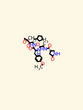 COc1ccc(C[C@H](NC(=O)[C@@H](C)NC(=O)[C@@H]2CNC(=O)C2)C(=O)N[C@@H](CC2CCCC2)C(=O)[C@]2(C)CO2)cc1